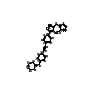 N#Cc1nccn1Cc1cc(-c2ccc(C#Cc3ccc(CN4CCOCC4)cc3)cc2)on1